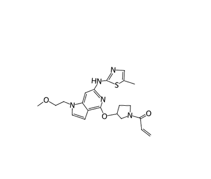 C=CC(=O)N1CCC(Oc2nc(Nc3ncc(C)s3)cc3c2ccn3CCOC)C1